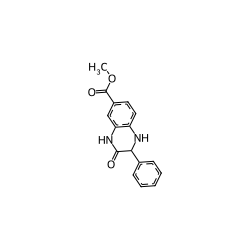 COC(=O)c1ccc2c(c1)NC(=O)C(c1ccccc1)N2